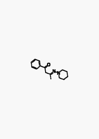 CC(CC(=O)c1ccccc1)=NN1CCCCC1